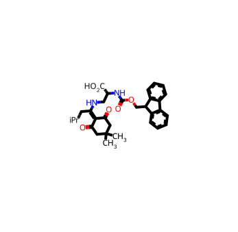 CC(C)CC(NCC(NC(=O)OCC1c2ccccc2-c2ccccc21)C(=O)O)=C1C(=O)CC(C)(C)CC1=O